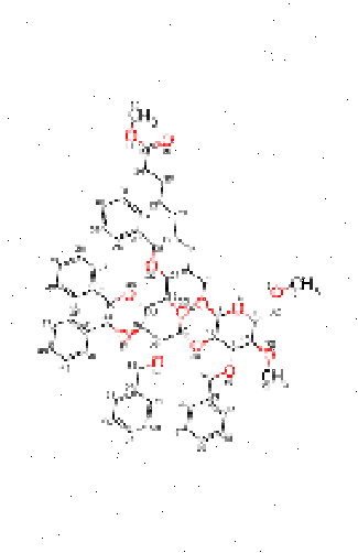 COC[C@H]1O[C@H](OCCCCCCCCC(=O)OC)[C@H](O[C@H]2O[C@H](COCc3ccccc3)[C@@H](OCc3ccccc3)[C@H](OCc3ccccc3)[C@H]2OCc2ccccc2)[C@@H](OCc2ccccc2)[C@@H]1OC